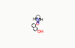 Oc1ccc2cccc(O[C@@H]3C[C@H]4CCC[C@@H](C3)N4)c2c1